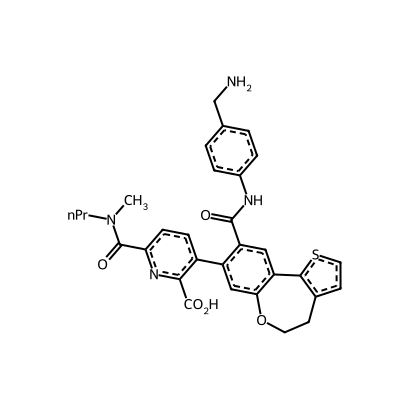 CCCN(C)C(=O)c1ccc(-c2cc3c(cc2C(=O)Nc2ccc(CN)cc2)-c2sccc2CCO3)c(C(=O)O)n1